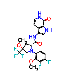 COc1c(N2C[C@](OC)(C(F)(F)F)C[C@@H]2C(=O)Nc2c[nH]c3c(=O)[nH]ccc23)ccc(F)c1F